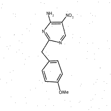 COc1ccc(Cc2ncc([N+](=O)[O-])c(N)n2)cc1